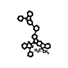 CC1(C)c2ccccc2-c2cc3c4cc(-c5cccc(-c6ccc7c(c6)c6ccccc6n7-c6ccccc6)c5)ccc4n(-c4nc(-c5ccccc5)c5ccccc5n4)c3cc21